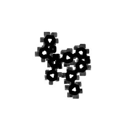 C1=C(c2nc(-c3ccccc3)nc(-c3ccc(C4=c5c(sc6ccc(-c7cccc(-c8ccccc8)c7)cc56)=CCC4)cc3)n2)c2oc3ccccc3c2CC1